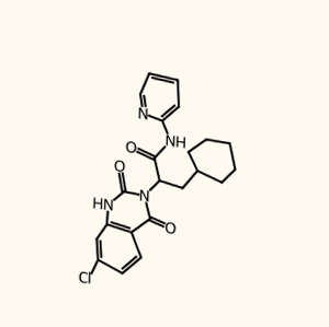 O=C(Nc1ccccn1)C(CC1CCCCC1)n1c(=O)[nH]c2cc(Cl)ccc2c1=O